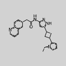 CCn1cccc1C1CC(c2cc(NC(=O)Cc3ccc4ncccc4c3)n[nH]2)C1